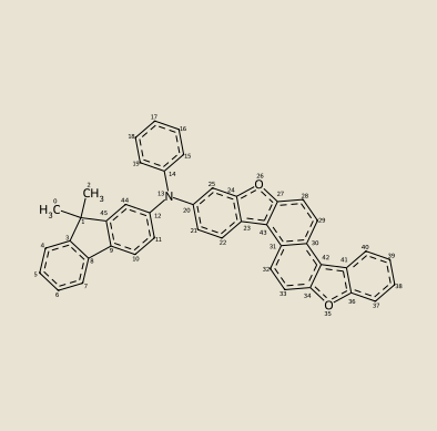 CC1(C)c2ccccc2-c2ccc(N(c3ccccc3)c3ccc4c(c3)oc3ccc5c(ccc6oc7ccccc7c65)c34)cc21